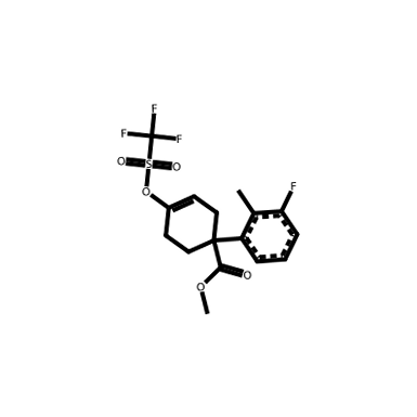 COC(=O)C1(c2cccc(F)c2C)CC=C(OS(=O)(=O)C(F)(F)F)CC1